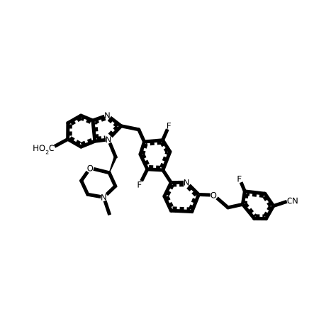 CN1CCO[C@@H](Cn2c(Cc3cc(F)c(-c4cccc(OCc5ccc(C#N)cc5F)n4)cc3F)nc3ccc(C(=O)O)cc32)C1